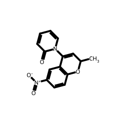 CC1C=C(n2ccccc2=O)c2cc([N+](=O)[O-])ccc2O1